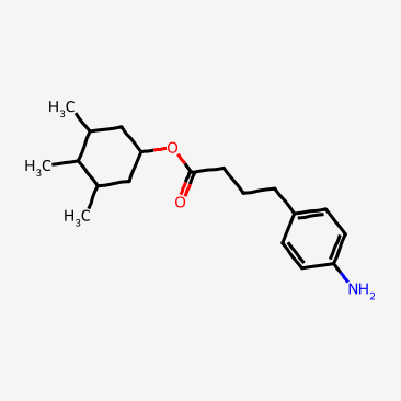 CC1CC(OC(=O)CCCc2ccc(N)cc2)CC(C)C1C